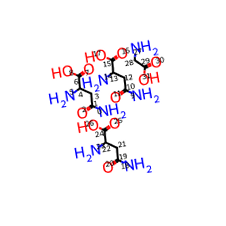 NC(=O)CC(N)C(=O)O.NC(=O)CC(N)C(=O)O.NC(=O)CC(N)C(=O)O.NCC(=O)O